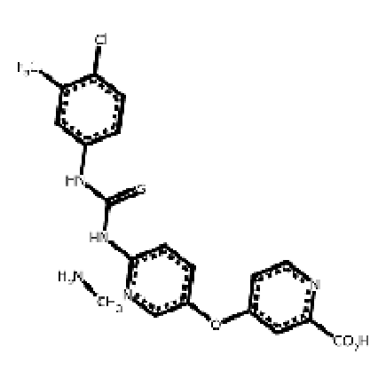 CN.O=C(O)c1cc(Oc2ccc(NC(=S)Nc3ccc(Cl)c(C(F)(F)F)c3)nc2)ccn1